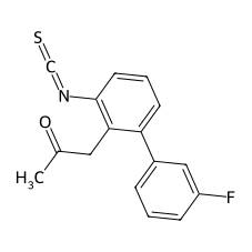 CC(=O)Cc1c(N=C=S)cccc1-c1cccc(F)c1